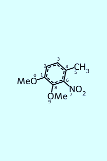 COc1ccc(C)c([N+](=O)[O-])c1OC